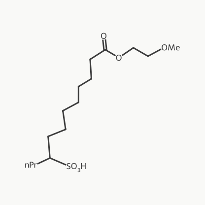 CCCC(CCCCCCCC(=O)OCCOC)S(=O)(=O)O